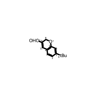 CC(C)(C)c1ccc2c(c1)OCC(C=O)=C2